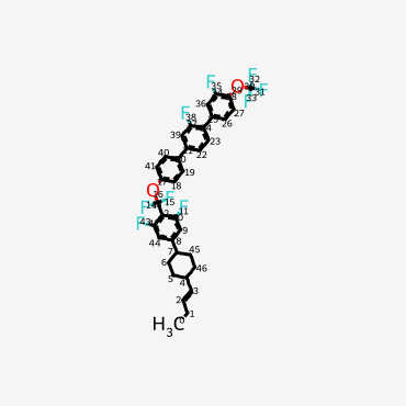 CC/C=C/C1CCC(c2cc(F)c(C(F)(F)Oc3ccc(-c4ccc(-c5ccc(OC(F)(F)F)c(F)c5)c(F)c4)cc3)c(F)c2)CC1